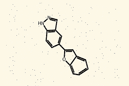 c1ccc2oc(-c3ccc4[nH]ncc4c3)cc2c1